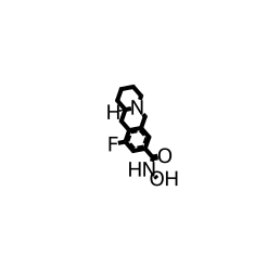 O=C(NO)c1cc(F)c2c(c1)CN1CCCC[C@@H]1C2